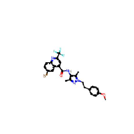 COc1ccc(CCn2nc(C)c(NC(=O)c3cc(C(F)(F)F)nc4ccc(Br)cc34)c2C)cc1